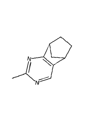 Cc1ncc2c(n1)C1CCC2C1